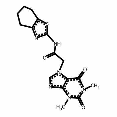 Cn1c(=O)c2c(ncn2CC(=O)Nc2nc3c(s2)CCCC3)n(C)c1=O